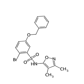 Cc1noc(NS(=O)(=O)c2cc(OCc3ccccc3)ccc2Br)c1C